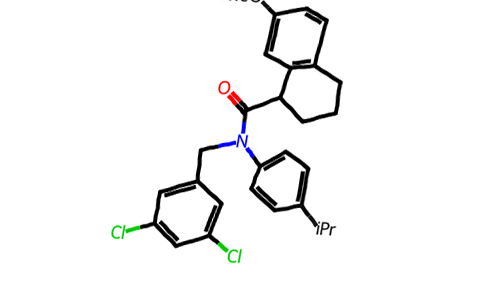 COc1ccc2c(c1)C(C(=O)N(Cc1cc(Cl)cc(Cl)c1)c1ccc(C(C)C)cc1)CCC2